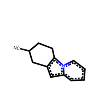 N#CC1CCc2c(cc3ccccn23)C1